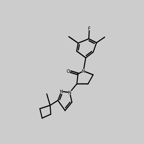 Cc1cc(N2CCC(n3ccc(C4(C)CCC4)n3)C2=O)cc(C)c1F